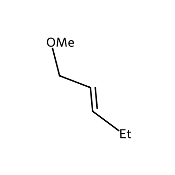 CC/C=C/COC